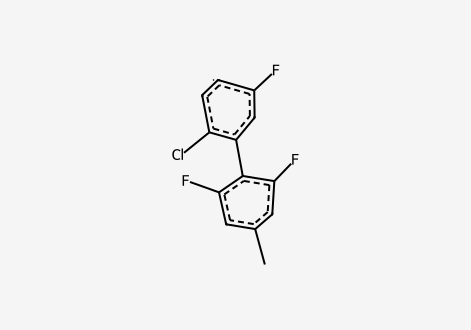 Cc1cc(F)c(-c2cc(F)[c]cc2Cl)c(F)c1